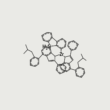 CC(C)Cc1ccccc1-c1cccc2c1C=C(c1ccccc1)[CH]2[Zr]([c]1cccc2c1[SiH2]c1ccccc1-2)[CH]1C(c2ccccc2)=Cc2c(-c3ccccc3CC(C)C)cccc21